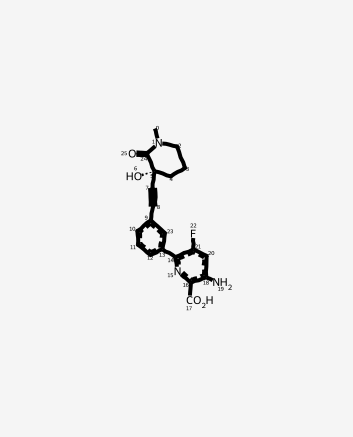 CN1CCC[C@@](O)(C#Cc2cccc(-c3nc(C(=O)O)c(N)cc3F)c2)C1=O